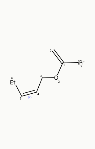 C=C(OC/C=C\CC)C(C)C